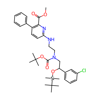 COC(=O)c1nc(NCCN(CC(O[Si](C)(C)C(C)(C)C)c2cccc(Cl)c2)C(=O)OC(C)(C)C)ccc1-c1ccccc1